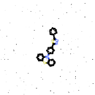 c1ccc(-c2nnc(-c3ccc(N4c5ccccc5Sc5ccccc54)cc3)s2)cc1